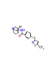 O=C(N[C@H]1CN2CCC1CC2)c1ccc(Sc2cc(C(F)(F)F)sn2)cc1